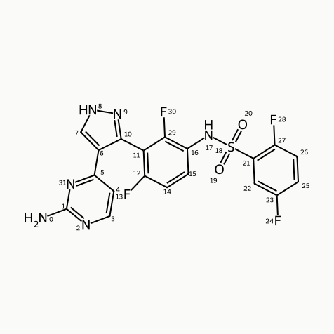 Nc1nccc(-c2c[nH]nc2-c2c(F)ccc(NS(=O)(=O)c3cc(F)ccc3F)c2F)n1